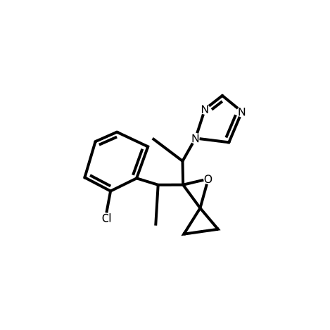 CC(c1ccccc1Cl)C1(C(C)n2cncn2)OC12CC2